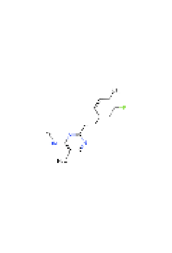 CCNc1nc(CCC(/C=C\CC(F)(F)F)=C/CF)ncc1C